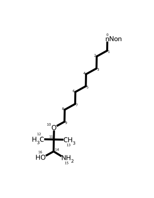 CCCCCCCCCCCCCCCCCCOC(C)(C)C(N)O